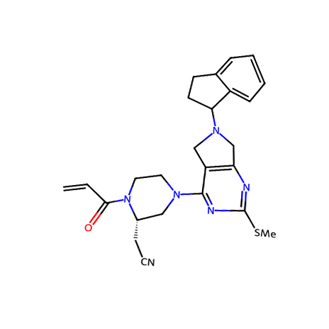 C=CC(=O)N1CCN(c2nc(SC)nc3c2CN(C2CCc4ccccc42)C3)C[C@@H]1CC#N